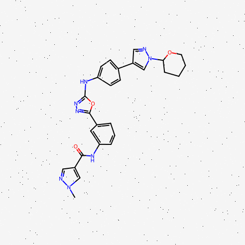 Cn1cc(C(=O)Nc2cccc(-c3nnc(Nc4ccc(-c5cnn(C6CCCCO6)c5)cc4)o3)c2)cn1